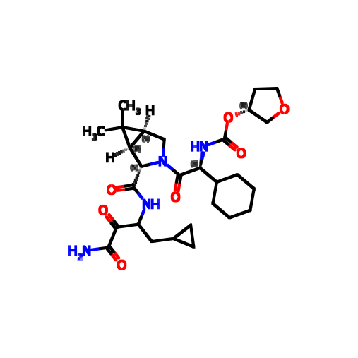 CC1(C)[C@@H]2[C@@H](C(=O)NC(CC3CC3)C(=O)C(N)=O)N(C(=O)[C@@H](NC(=O)O[C@@H]3CCOC3)C3CCCCC3)C[C@@H]21